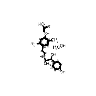 Cc1cc(OCC(=O)O)c(C)cc1CCN[C@@H](C)[C@@H](O)c1ccc(O)cc1.Cl.O